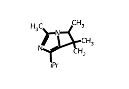 Cc1nc(C(C)C)c2n1C(C)C2(C)C